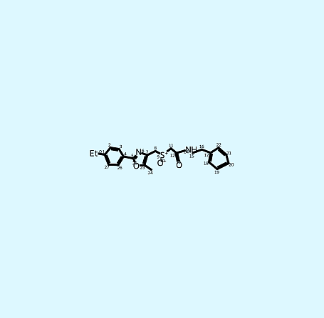 CCc1ccc(-c2nc(C[S+]([O-])CC(=O)NCCc3ccccc3)c(C)o2)cc1